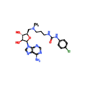 CN(CCCNC(=O)Nc1ccc(Cl)cc1)C[C@H]1O[C@@H](n2cnc3c(N)ncnc32)C(O)[C@@H]1O